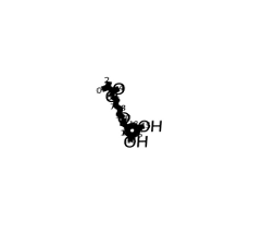 C=C(C)C(=O)OCCCCOCc1cc(O)cc(O)c1